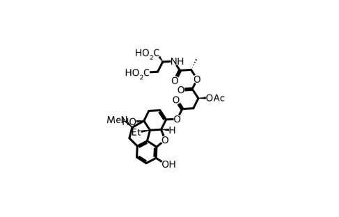 CC[C@]12c3c4ccc(O)c3O[C@H]1C(OC(=O)C[C@H](OC(C)=O)C(=O)O[C@@H](C)C(=O)N[C@@H](CC(=O)O)C(=O)O)=CC[C@@]2(O)[C@H](NC)C4